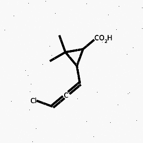 CC1(C)C(C=C=CCl)C1C(=O)O